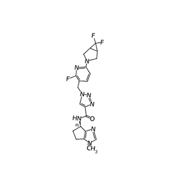 Cn1cnc2c1CC[C@H]2NC(=O)c1cn(Cc2ccc(N3CC4C(C3)C4(F)F)nc2F)nn1